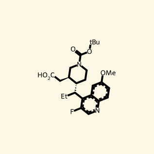 CCC(c1c(F)cnc2ccc(OC)cc12)[C@H]1CCN(C(=O)OC(C)(C)C)C[C@@H]1CC(=O)O